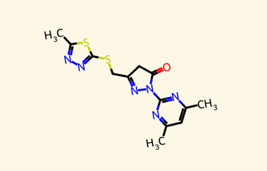 Cc1cc(C)nc(N2N=C(CSc3nnc(C)s3)CC2=O)n1